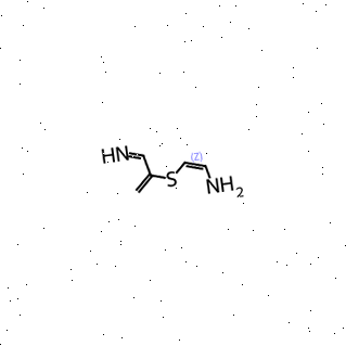 C=C(C=N)S/C=C\N